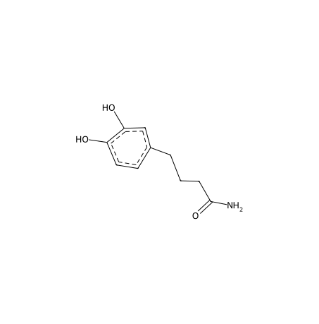 NC(=O)CCCc1ccc(O)c(O)c1